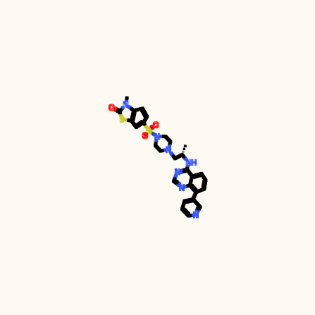 C[C@@H](CN1CCN(S(=O)(=O)c2ccc3c(c2)sc(=O)n3C)CC1)Nc1ncnc2c(-c3cccnc3)cccc12